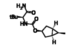 C[C@H]1[C@H]2C[C@@H](OC(=O)N[C@H](C(N)=O)C(C)(C)C)C[C@@H]12